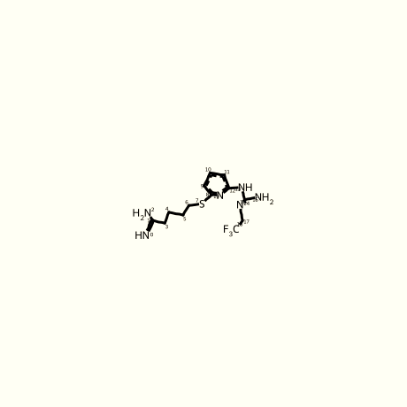 N=C(N)CCCCSc1cccc(NC(N)=NCC(F)(F)F)n1